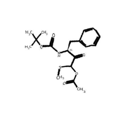 CSC(OC(C)=O)C(=O)[C@H](Cc1ccccc1)NC(=O)OC(C)(C)C